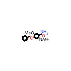 CNc1cc(OCc2ccccc2)c(OC)cc1C(N)=O